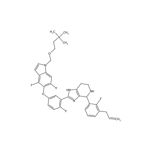 C=CCc1cccc(C2NCCc3[nH]c(-c4cc(Oc5c(F)cc6c(ccn6COCC[Si](C)(C)C)c5F)ccc4F)nc32)c1F